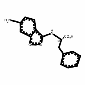 Nc1ccc2c(N[C@@H](Cc3ccccc3)C(=O)O)noc2c1